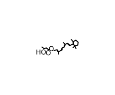 CC(C=CC1=C(C)CCCC1(C)C)=CC=CC(C)=CCOC(=O)CC(C)O